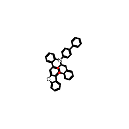 c1ccc(-c2ccc(N(c3ccc4ccccc4c3)c3ccccc3-c3ccc4c(c3)oc3ccccc34)cc2)cc1